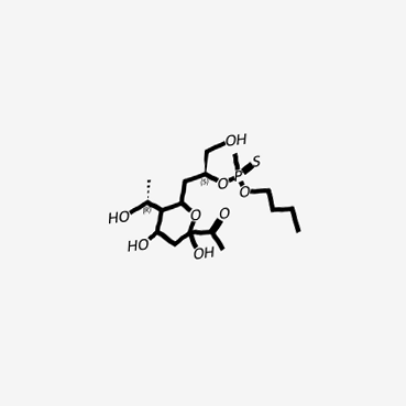 CCCCOP(C)(=S)O[C@H](CO)CC1OC(O)(C(C)=O)CC(O)C1[C@@H](C)O